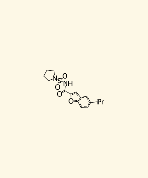 CC(C)c1ccc2oc(C(=O)NS(=O)(=O)N3CCCC3)cc2c1